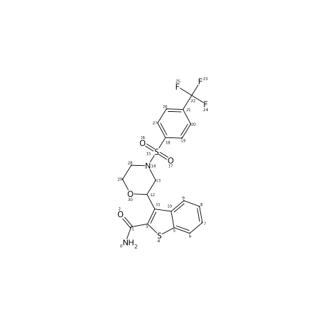 NC(=O)c1sc2ccccc2c1C1CN(S(=O)(=O)c2ccc(C(F)(F)F)cc2)CCO1